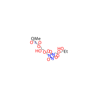 CCC(O)COC(=O)Cn1c(=O)n(C)c(=O)n(CC(=O)OCC(O)COC(=O)/C=C/C(=O)OC)c1=O